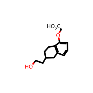 O=C(O)COc1cccc2c1CCC(CCO)C2